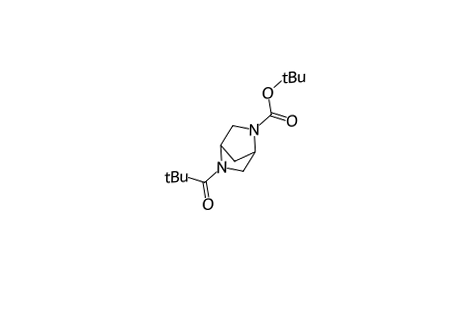 CC(C)(C)OC(=O)N1CC2CC1CN2C(=O)C(C)(C)C